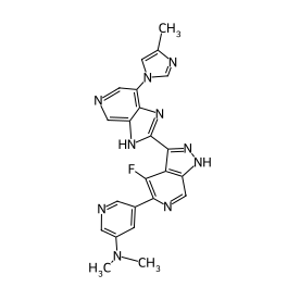 Cc1cn(-c2cncc3[nH]c(-c4n[nH]c5cnc(-c6cncc(N(C)C)c6)c(F)c45)nc23)cn1